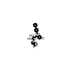 O=C(O[C@H](c1ccc(Cl)cc1)[C@H]1O[C@@H](n2ccc3c(I)ncnc32)[C@H](O)[C@@H]1O)c1ccc(-c2ccccc2)cc1